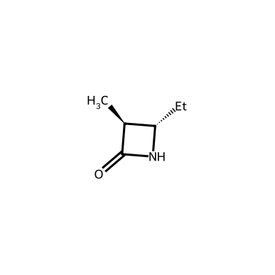 CC[C@@H]1NC(=O)[C@H]1C